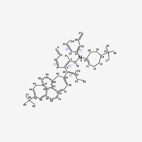 C=C\C=C/C(=C(\C)C(C)N(C1=CCCC(C(C)(C)C)CC1)C(/C=C\C)=C/C=C)C(/C1=CC=c2ccc3c4c(ccc(c24)C1)CC=C(C(C)(C)C)C=3)=C(\C)CC